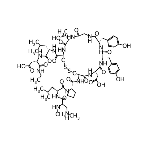 CCNC(=O)[C@H](CC(=O)O)NC(=O)[C@H](CC(C)C)NC(=O)[C@@H]1CSSC[C@H](NC(=O)[C@@H]2CCCN2C(=O)[C@H](CC(C)C)NC(=O)C(CNC)NC)C(=O)N[C@@H](CC(=O)O)C(=O)N[C@@H](Cc2ccc(O)cc2)C(=O)N[C@@H](Cc2ccc(O)cc2)C(=O)NCC(=O)N[C@@H](C(C)O)C(=O)N1